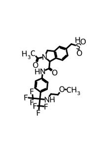 COCCNC(c1ccc(NC(=O)C2c3ccc(C[SH](=O)=O)cc3CN2C(C)=O)cc1)(C(F)(F)F)C(F)(F)F